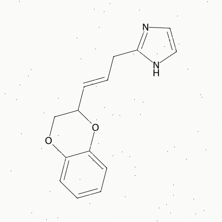 C(=CC1COc2ccccc2O1)Cc1ncc[nH]1